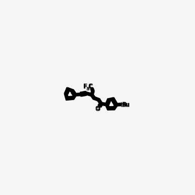 CC(C)(C)c1ccc(C(=O)CCC(C#Cc2ccccc2)CC(F)(F)F)cc1